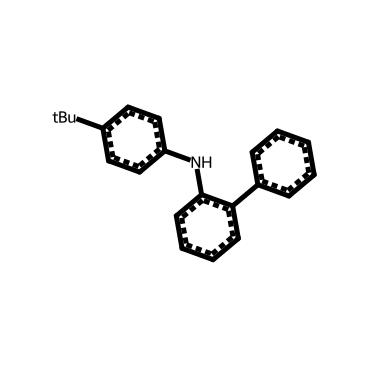 CC(C)(C)c1ccc(Nc2ccccc2-c2ccccc2)cc1